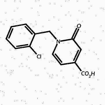 O=C(O)c1ccn(Cc2ccccc2Cl)c(=O)c1